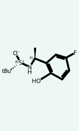 C[C@H](N[S@@+]([O-])C(C)(C)C)c1cc(F)ccc1O